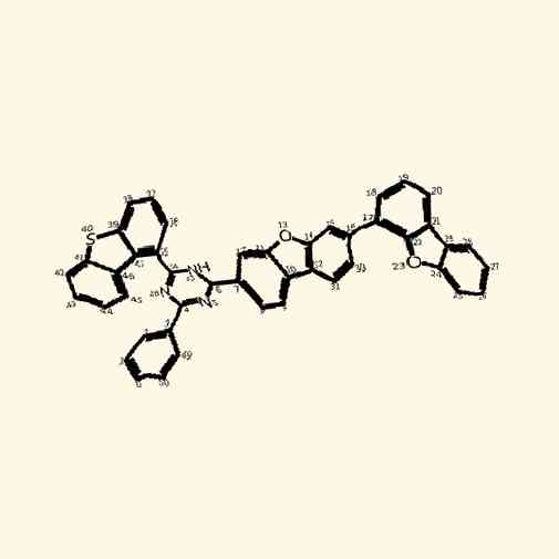 c1ccc(C2=NC(c3ccc4c(c3)oc3cc(-c5cccc6c5oc5ccccc56)ccc34)NC(c3cccc4sc5ccccc5c34)=N2)cc1